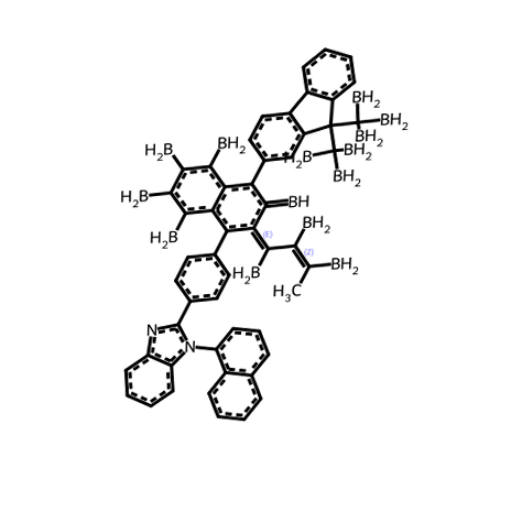 B=c1c(-c2ccc3c(c2)C(C(B)(B)B)(C(B)(B)B)c2ccccc2-3)c2c(B)c(B)c(B)c(B)c2c(-c2ccc(-c3nc4ccccc4n3-c3cccc4ccccc34)cc2)/c1=C(B)/C(B)=C(/B)C